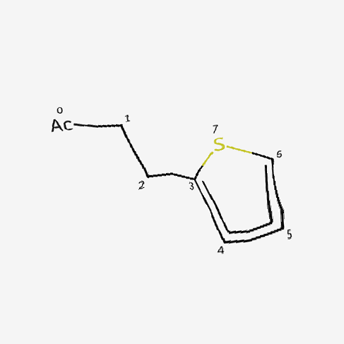 CC(=O)CCC1=C=C=CS1